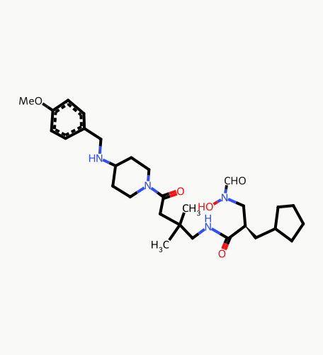 COc1ccc(CNC2CCN(C(=O)CC(C)(C)CNC(=O)[C@H](CC3CCCC3)CN(O)C=O)CC2)cc1